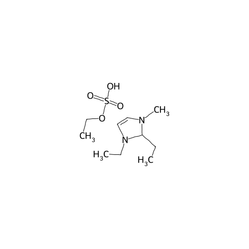 CCC1N(C)C=CN1CC.CCOS(=O)(=O)O